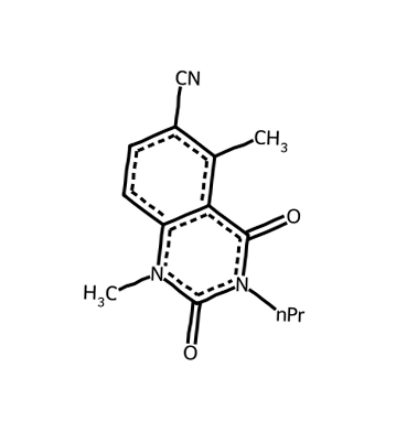 CCCn1c(=O)c2c(C)c(C#N)ccc2n(C)c1=O